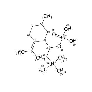 CC(C)=C1CCC(C)CC1C(C[N+](C)(C)C)OP(=O)(O)O